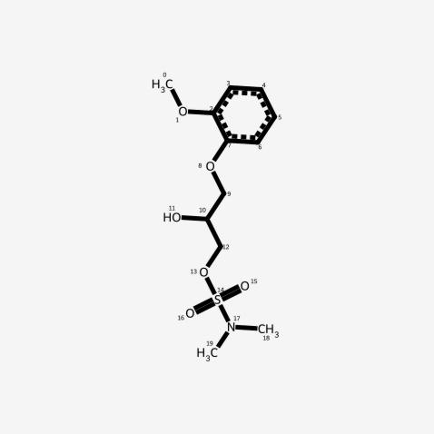 COc1ccccc1OCC(O)COS(=O)(=O)N(C)C